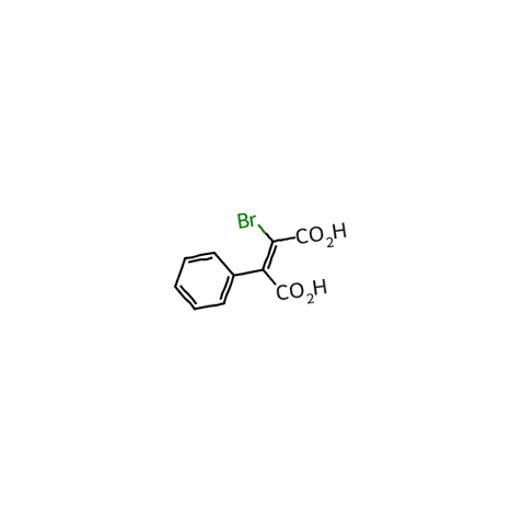 O=C(O)C(Br)=C(C(=O)O)c1ccccc1